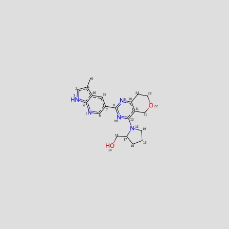 Cc1c[nH]c2ncc(-c3nc4c(c(N5CCCC5CO)n3)COCC4)cc12